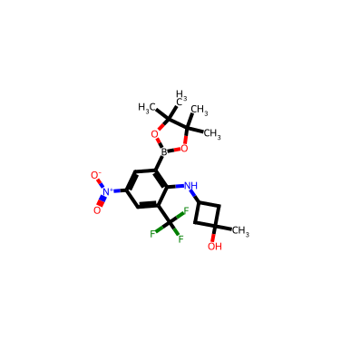 CC1(O)CC(Nc2c(B3OC(C)(C)C(C)(C)O3)cc([N+](=O)[O-])cc2C(F)(F)F)C1